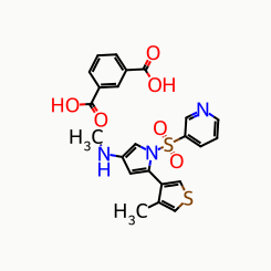 CNc1cc(-c2cscc2C)n(S(=O)(=O)c2cccnc2)c1.O=C(O)c1cccc(C(=O)O)c1